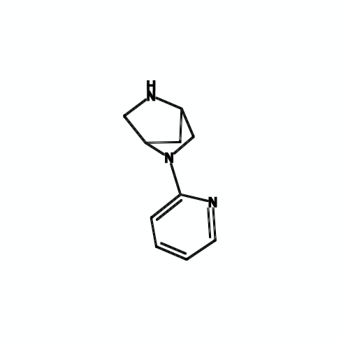 c1ccc(N2CC3CC2CN3)nc1